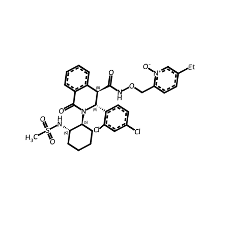 CCc1ccc(CONC(=O)[C@@H]2c3ccccc3C(=O)N([C@H]3CCCC[C@@H]3NS(C)(=O)=O)[C@H]2c2ccc(Cl)cc2Cl)[n+]([O-])c1